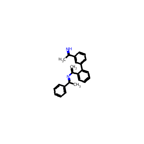 C=C(/N=C(\C)c1ccccc1)c1ccccc1-c1cccc(C(C)=N)c1